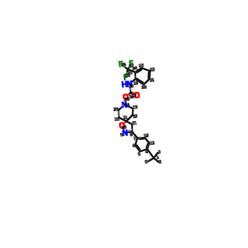 CC(C)(C)c1ccc(C2=NOC3(CCN(OC(=O)Nc4ccccc4C(F)(F)F)CC3)C2)cc1